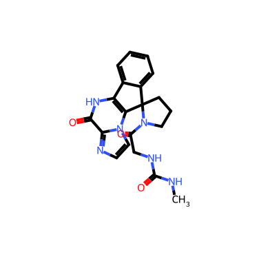 CNC(=O)NCC(=O)N1CCCC12c1ccccc1-c1[nH]c(=O)c3nccn3c12